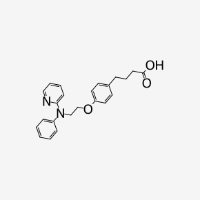 O=C(O)CCCc1ccc(OCCN(c2ccccc2)c2ccccn2)cc1